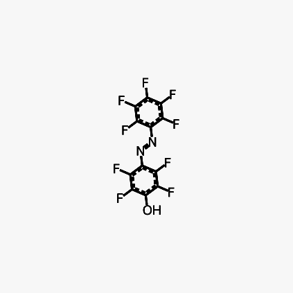 Oc1c(F)c(F)c(N=Nc2c(F)c(F)c(F)c(F)c2F)c(F)c1F